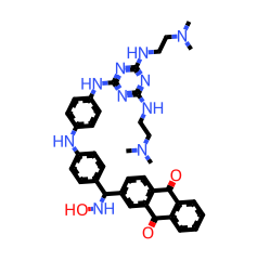 CN(C)CCNc1nc(NCCN(C)C)nc(Nc2ccc(Nc3ccc(C(NO)c4ccc5c(c4)C(=O)c4ccccc4C5=O)cc3)cc2)n1